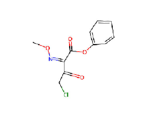 CO/N=C(/C(=O)CCl)C(=O)Oc1ccccc1